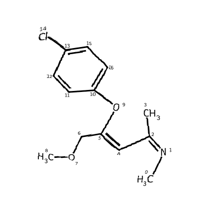 C/N=C(C)\C=C(\COC)Oc1ccc(Cl)cc1